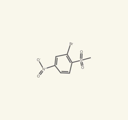 CS(=O)(=O)c1ccc([N+](=O)[O-])cc1Br